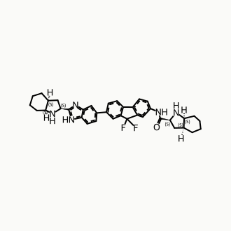 O=C(Nc1ccc2c(c1)C(F)(F)c1cc(-c3ccc4[nH]c([C@@H]5C[C@@H]6CCCC[C@@H]6N5)nc4c3)ccc1-2)[C@@H]1C[C@@H]2CCCC[C@@H]2N1